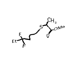 CCC(F)(F)CCCSC(C)C(=O)OC